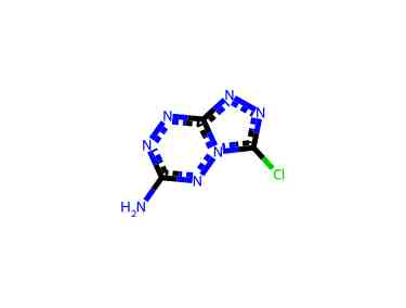 Nc1nnc2nnc(Cl)n2n1